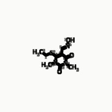 CCSc1c(/C=N/O)c(=O)n(C)c(=O)n1C